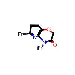 CCc1ccc2c(n1)N(C(C)C)C(=O)CO2